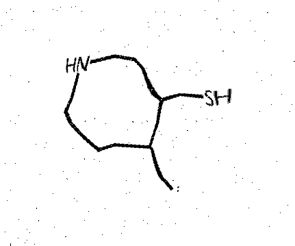 [CH]C1CCNCC1S